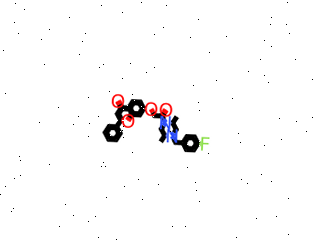 CC1CN(C(=O)COc2ccc3c(=O)cc(-c4ccccc4)oc3c2)C(C)CN1Cc1ccc(F)cc1